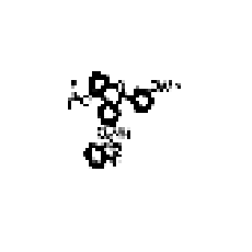 COc1cccc(C2Oc3cccc(OC(F)F)c3-c3ccc(NS(=O)(=O)c4ccccc4F)cc32)c1